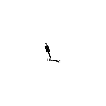 N#CNCl